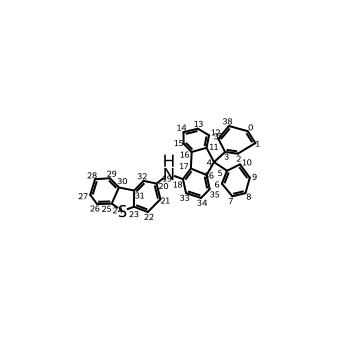 c1ccc(C2(c3ccccc3)c3ccccc3-c3c(Nc4ccc5sc6ccccc6c5c4)cccc32)cc1